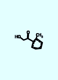 Cc1ccccc1C(=O)CO